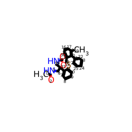 CC(=O)NCC1(c2ccccc2SCc2cccc(C)c2-c2ccccc2)CNC(=O)O1